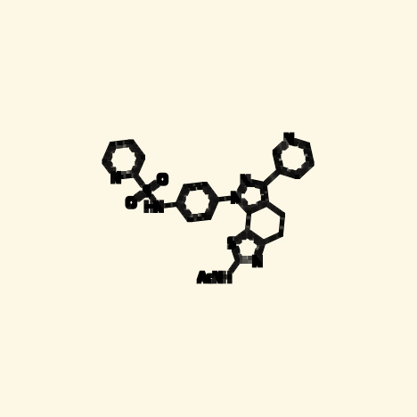 CC(=O)Nc1nc2c(s1)-c1c(c(-c3cccnc3)nn1-c1ccc(NS(=O)(=O)c3ccccn3)cc1)CC2